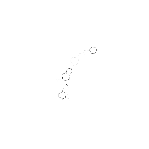 CC(C)Oc1cc2nc([C@H]3CC[C@H](COCc4ccccc4)CC3)cn2cc1C(=O)Nc1cccc(C(F)(F)F)n1